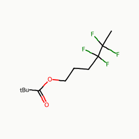 CC(C)(C)C(=O)OCCCC(F)(F)C(C)(F)F